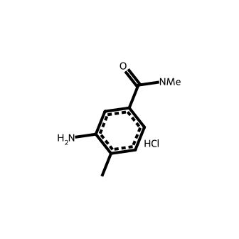 CNC(=O)c1ccc(C)c(N)c1.Cl